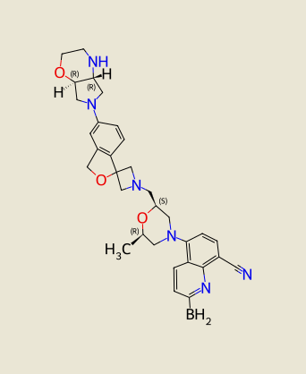 Bc1ccc2c(N3C[C@H](CN4CC5(C4)OCc4cc(N6C[C@H]7NCCO[C@@H]7C6)ccc45)O[C@H](C)C3)ccc(C#N)c2n1